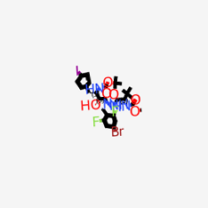 COC(=O)N[C@H](C(=O)NN(Cc1c(F)cc(Br)cc1F)C[C@H](O)[C@H](Cc1ccc(I)cc1)NC(=O)OC(C)(C)C)C(C)(C)C